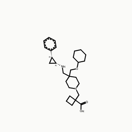 O=C(O)C1(CN2CCC(CN[C@@H]3C[C@@H]3c3ccccc3)(COC3CCCCC3)CC2)CCC1